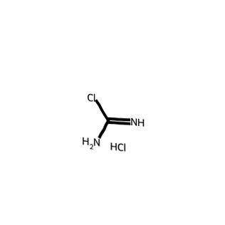 Cl.N=C(N)Cl